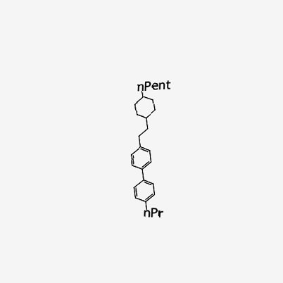 CCCCCC1CCC(CCc2ccc(-c3ccc(CCC)cc3)cc2)CC1